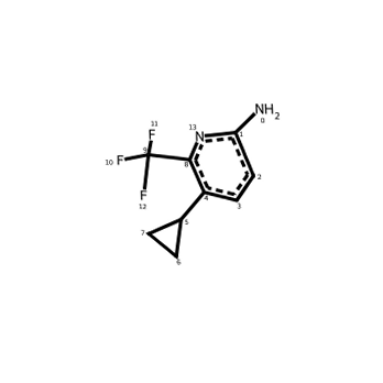 Nc1ccc(C2CC2)c(C(F)(F)F)n1